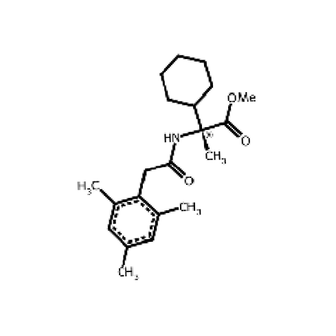 COC(=O)[C@](C)(NC(=O)Cc1c(C)cc(C)cc1C)C1CCCCC1